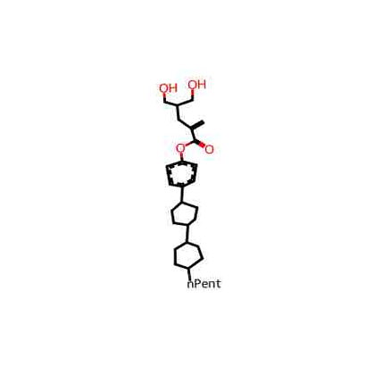 C=C(CC(CO)CO)C(=O)Oc1ccc(C2CCC(C3CCC(CCCCC)CC3)CC2)cc1